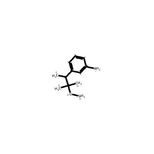 CC(c1cccc(N)c1)C(C)(C)O[SiH3]